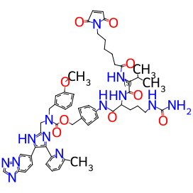 COc1cccc(CN(Cc2nc(-c3cccc(C)n3)c(-c3ccc4ncnn4c3)[nH]2)C(=O)OCc2ccc(NC(=O)C(CCCNC(N)=O)NC(=O)[C@@H](NC(=O)CCCCCN3C(=O)C=CC3=O)C(C)C)cc2)c1